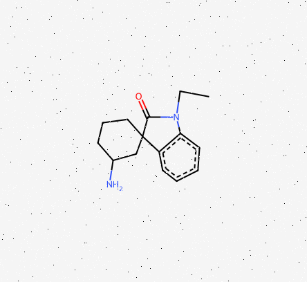 CCN1C(=O)C2(CCCC(N)C2)c2ccccc21